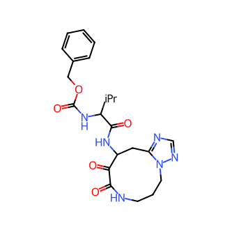 CC(C)C(NC(=O)OCc1ccccc1)C(=O)NC1Cc2ncnn2CCCNC(=O)C1=O